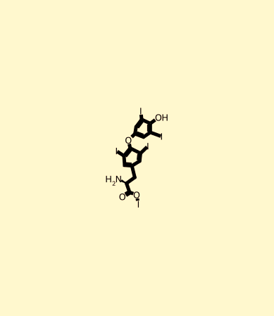 N[C@@H](Cc1cc(I)c(Oc2cc(I)c(O)c(I)c2)c(I)c1)C(=O)OI